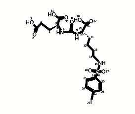 O=C(O)CC[C@H](NC(=O)N[C@@H](CCCCNS(=O)(=O)c1ccc(I)cc1)C(=O)O)C(=O)O